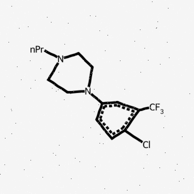 CCCN1CCN(c2ccc(Cl)c(C(F)(F)F)c2)CC1